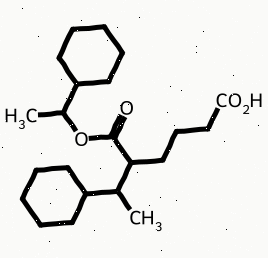 CC(OC(=O)C(CCCC(=O)O)C(C)C1CCCCC1)C1CCCCC1